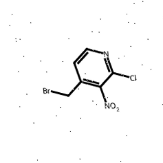 O=[N+]([O-])c1c(CBr)ccnc1Cl